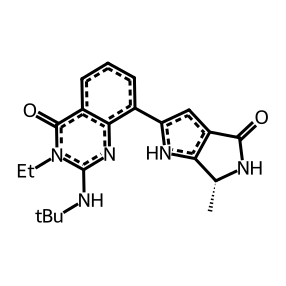 CCn1c(NC(C)(C)C)nc2c(-c3cc4c([nH]3)[C@@H](C)NC4=O)cccc2c1=O